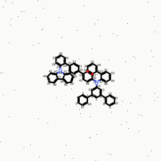 c1ccc(-c2cc(-c3ccccc3)cc(N(c3ccc(-c4ccc(-c5ccccc5-n5c6ccccc6c6ccccc65)cc4)cc3)c3ccccc3-c3ccccc3)c2)cc1